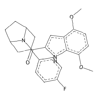 COc1ccc(OC)c2[nH]c(C(=O)N3C4CCC3CC(c3ccc(F)cc3)C4)cc12